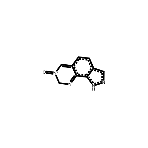 O=[N+]1C=c2ccc3cn[nH]c3c2=NC1